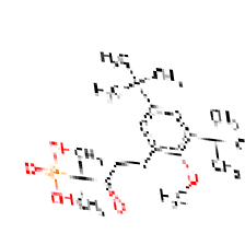 COc1c(C=CC(=O)C(C)(C)P(=O)(O)O)cc(C(C)(C)C)cc1C(C)(C)C